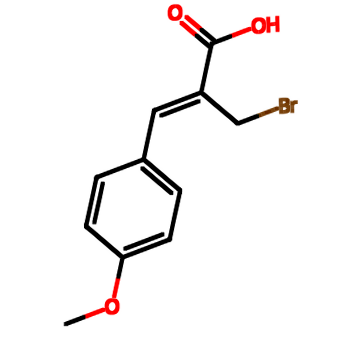 COc1ccc(C=C(CBr)C(=O)O)cc1